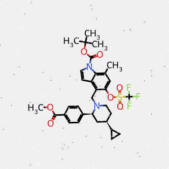 COC(=O)c1ccc([C@@H]2C[C@H](C3CC3)CCN2Cc2c(OS(=O)(=O)C(F)(F)F)cc(C)c3c2ccn3C(=O)OC(C)(C)C)cc1